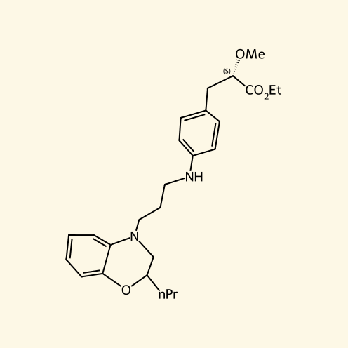 CCCC1CN(CCCNc2ccc(C[C@H](OC)C(=O)OCC)cc2)c2ccccc2O1